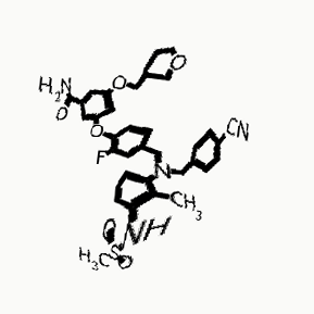 Cc1c(NS(C)(=O)=O)cccc1N(Cc1ccc(C#N)cc1)Cc1ccc(Oc2cc(OCC3CCOC3)cc(C(N)=O)c2)c(F)c1